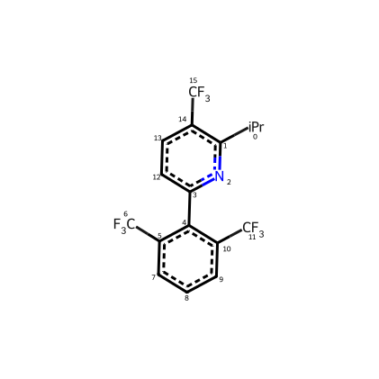 CC(C)c1nc(-c2c(C(F)(F)F)cccc2C(F)(F)F)ccc1C(F)(F)F